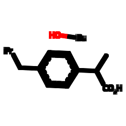 CC(C)Cc1ccc(C(C)C(=O)O)cc1.CCC(C)O